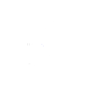 CO[C@H]1CC[C@@H](OC)N1C